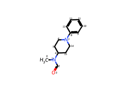 CN(C=O)C1CCN(c2ccccc2)CC1